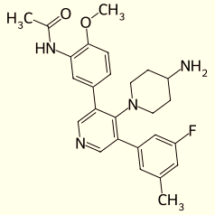 COc1ccc(-c2cncc(-c3cc(C)cc(F)c3)c2N2CCC(N)CC2)cc1NC(C)=O